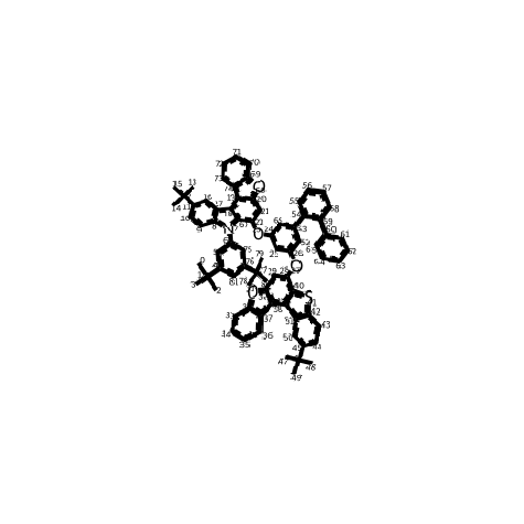 CC(C)(C)c1cc(-n2c3ccc(C(C)(C)C)cc3c3c4c(cc(Oc5cc(Oc6cc7oc8ccccc8c7c7c6sc6ccc(C(C)(C)C)cc67)cc(-c6ccccc6-c6ccccc6)c5)c32)oc2ccccc24)cc(C(C)(C)C)c1